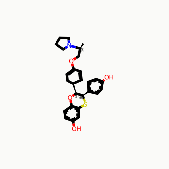 C[C@@H](COC1=CCC([C@@H]2Oc3ccc(O)cc3S[C@@H]2c2ccc(O)cc2)C=C1)N1CCCC1